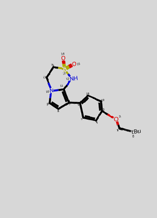 CC(C)(C)COc1ccc(-c2ccn3c2NS(=O)(=O)CC3)cc1